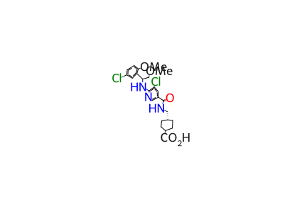 COCC(Nc1ncc(C(=O)NC[C@H]2CC[C@H](C(=O)O)CC2)cc1Cl)c1cc(Cl)ccc1OC